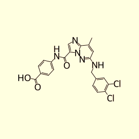 Cc1cc(NCc2ccc(Cl)c(Cl)c2)nn2c(C(=O)Nc3ccc(C(=O)O)cc3)cnc12